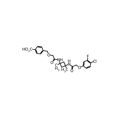 CC1(NC(=O)COCc2ccc(C(=O)O)cc2)CC(C)(NC(=O)COc2ccc(Cl)c(F)c2)C1